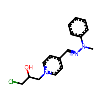 CN(/N=C/c1cc[n+](CC(O)CCl)cc1)c1ccccc1